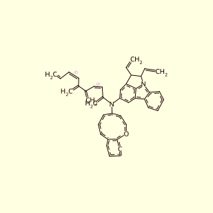 C=C/C=C\C(=C)C(=C)/C=C\C(=C)N(c1cccc2ccccc2occ1)c1cc2c3c(c1)c1ccccc1n3C(C=C)C2C=C